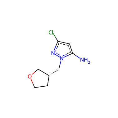 Nc1cc(Cl)nn1C[C@@H]1CCOC1